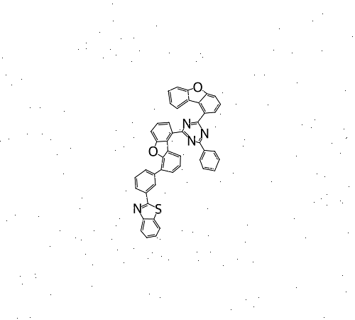 c1ccc(-c2nc(-c3cccc4oc5ccccc5c34)nc(-c3cccc4oc5c(-c6cccc(-c7nc8ccccc8s7)c6)cccc5c34)n2)cc1